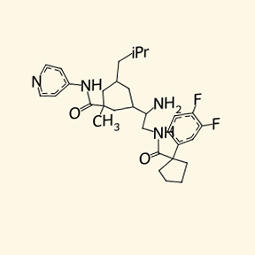 CC(C)CC1CC(C(N)CNC(=O)C2(c3ccc(F)c(F)c3)CCCC2)CC(C)(C(=O)Nc2ccncc2)C1